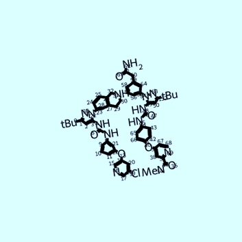 CC(C)(C)c1cc(NC(=O)Nc2cccc(Oc3cncc(Cl)c3)c2)n(-c2ccc3c(c2)CCNC3)n1.CNC(=O)c1cc(Oc2ccc(NC(=O)Nc3cc(C(C)(C)C)nn3-c3cccc(CC(N)=O)c3)cc2)ccn1